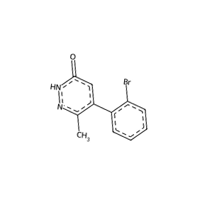 Cc1n[nH]c(=O)cc1-c1ccccc1Br